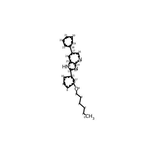 CCCCCCOc1cccc(-c2nc3ncc(-c4ccccc4)cc3[nH]2)c1